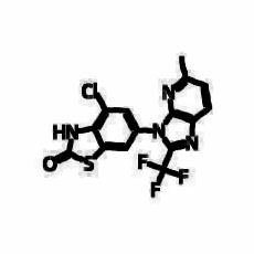 Cc1ccc2nc(C(F)(F)F)n(-c3cc(Cl)c4[nH]c(=O)sc4c3)c2n1